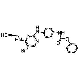 C#CCNc1nc(Nc2ccc(NC(=O)Oc3ccccc3)cc2)ncc1Br